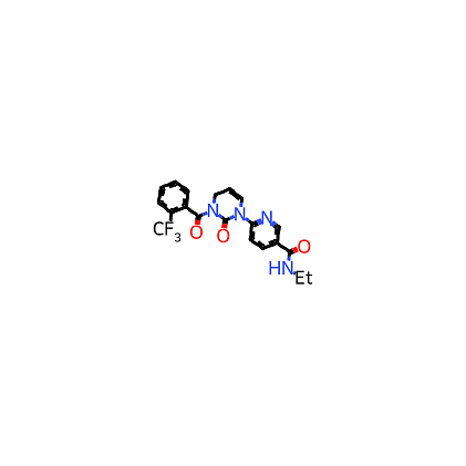 CCNC(=O)c1ccc(N2C=CCN(C(=O)c3ccccc3C(F)(F)F)C2=O)nc1